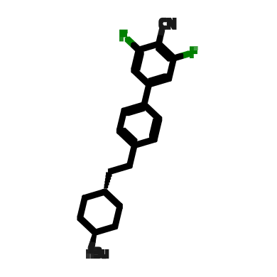 CCCC[C@H]1CC[C@H](CCc2ccc(-c3cc(F)c(C#N)c(F)c3)cc2)CC1